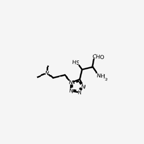 CN(C)CCn1nnnc1C(S)C(N)C=O